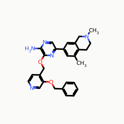 Cc1cc(-c2cnc(N)c(OCc3ccncc3OCc3ccccc3)n2)cc2c1CCN(C)C2